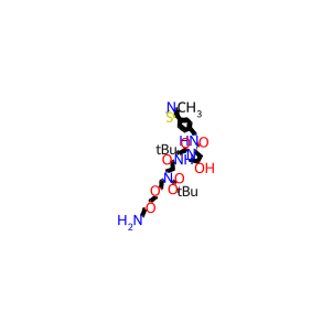 Cc1ncsc1-c1ccc(CNC(=O)[C@@H]2C[C@@H](O)CN2C(=O)C(NC(=O)CCN(CCOCCOCCN)C(=O)OC(C)(C)C)C(C)(C)C)cc1